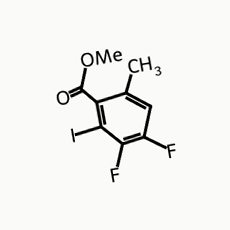 COC(=O)c1c(C)cc(F)c(F)c1I